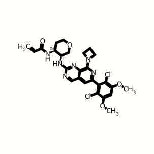 C=CC(=O)N[C@H]1CCOC[C@H]1Nc1ncc2cc(-c3c(Cl)c(OC)cc(OC)c3Cl)nc(N3CCC3)c2n1